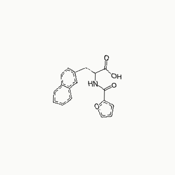 O=C(NC(Cc1ccc2ccccc2c1)C(=O)O)c1ccco1